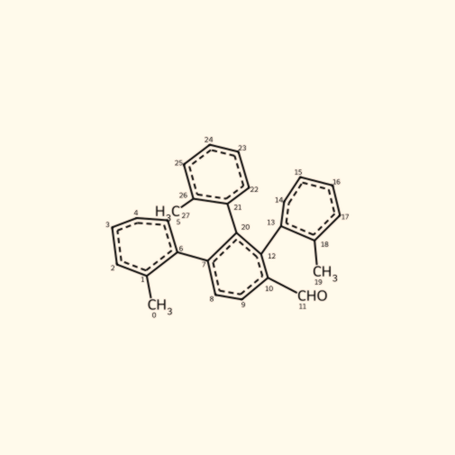 Cc1ccccc1-c1ccc(C=O)c(-c2ccccc2C)c1-c1ccccc1C